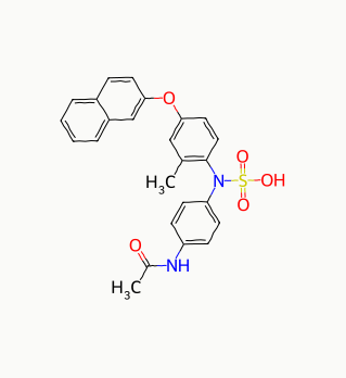 CC(=O)Nc1ccc(N(c2ccc(Oc3ccc4ccccc4c3)cc2C)S(=O)(=O)O)cc1